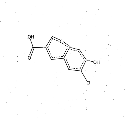 O=C(O)c1ccc2cc(O)c(Cl)cc2c1